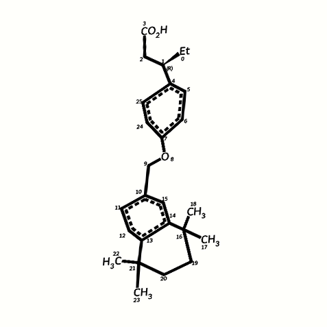 CC[C@H](CC(=O)O)c1ccc(OCc2ccc3c(c2)C(C)(C)CCC3(C)C)cc1